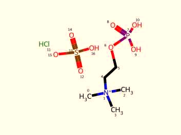 C[N+](C)(C)CCOP(=O)(O)O.Cl.O=S(=O)([O-])O